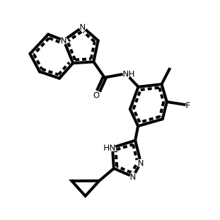 Cc1c(F)cc(-c2nnc(C3CC3)[nH]2)cc1NC(=O)c1cnn2ccccc12